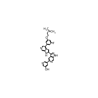 CN(C)CCOc1cc(F)cc(-c2cncc3[nH]c(-c4n[nH]c5cnc(-c6cncc(O)c6)cc45)cc23)c1